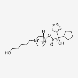 O=C(O[C@H]1C[N+]2(CCCCCO)CCC1CC2)[C@](O)(c1cccs1)C1CCCC1